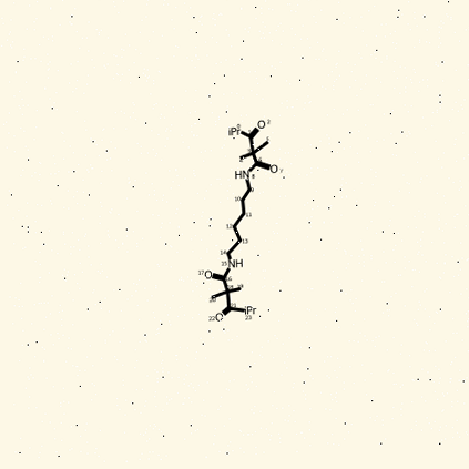 CC(C)C(=O)C(C)(C)C(=O)NCCCCCCNC(=O)C(C)(C)C(=O)C(C)C